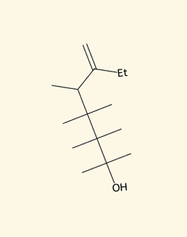 C=C(CC)C(C)C(C)(C)C(C)(C)C(C)(C)O